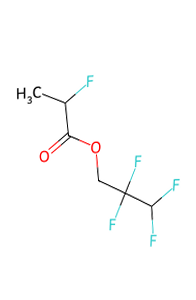 CC(F)C(=O)OCC(F)(F)C(F)F